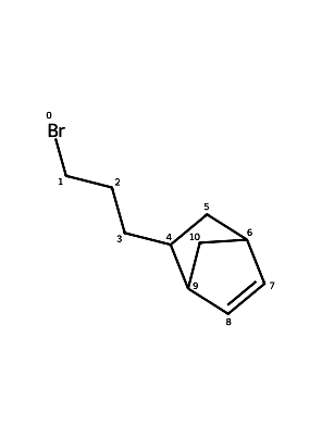 BrCCCC1CC2C=CC1C2